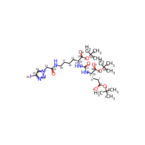 CC(C)(C)OC(=O)CC[C@H](NC(=O)N[C@@H](CCCCNC(=O)Cn1cc(I)nn1)C(=O)OC(C)(C)C)C(=O)OC(C)(C)C